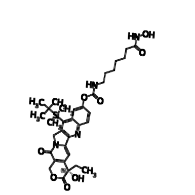 CC[C@@]1(O)C(=O)OCc2c1cc1n(c2=O)Cc2c-1nc1ccc(OC(=O)NCCCCCCC(=O)NO)cc1c2[Si](C)(C)C(C)(C)C